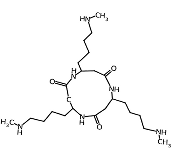 CNCCCCC1CC(=O)NC(CCCCNC)CC(=O)NC(CCCCNC)CC(=O)N1